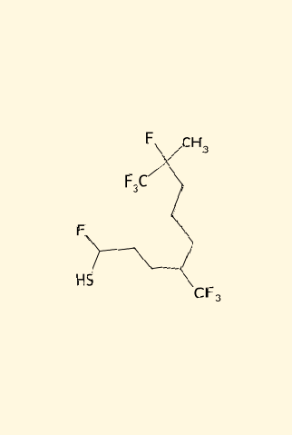 CC(F)(CCCC(CCC(F)S)C(F)(F)F)C(F)(F)F